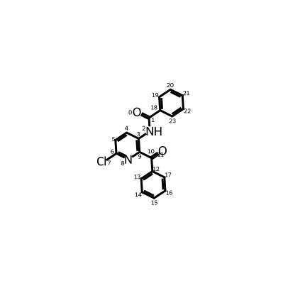 O=C(Nc1ccc(Cl)nc1C(=O)c1ccccc1)c1ccccc1